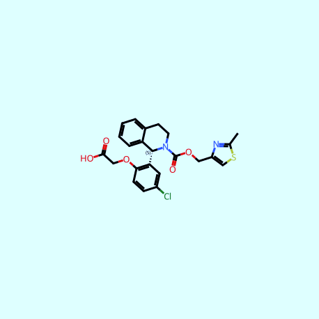 Cc1nc(COC(=O)N2CCc3ccccc3[C@H]2c2cc(Cl)ccc2OCC(=O)O)cs1